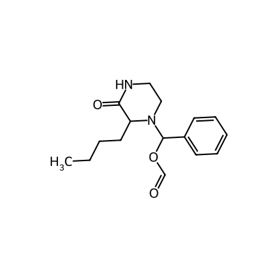 CCCCC1C(=O)NCCN1C(OC=O)c1ccccc1